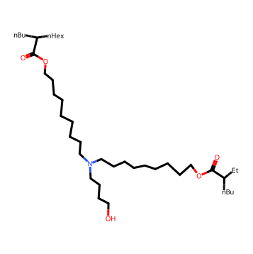 CCCCCCC(CCCC)C(=O)OCCCCCCCCCN(CCCCO)CCCCCCCCCOC(=O)C(CC)CCCC